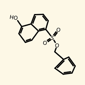 O=S(=O)(OCc1ccccc1)c1cccc2c(O)cccc12